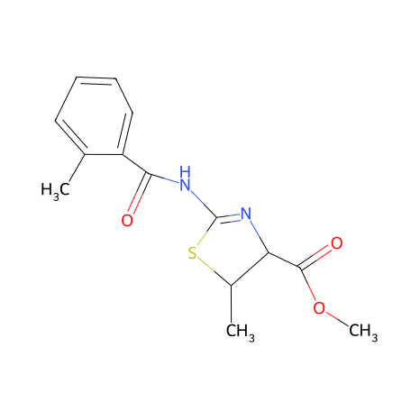 COC(=O)C1N=C(NC(=O)c2ccccc2C)SC1C